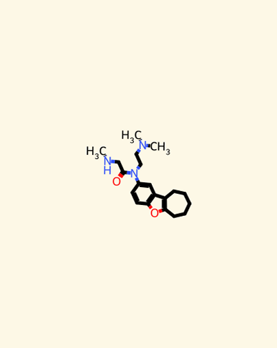 CNCC(=O)N(CCN(C)C)c1ccc2oc3c(c2c1)CCCCC3